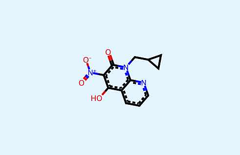 O=c1c([N+](=O)[O-])c(O)c2cccnc2n1CC1CC1